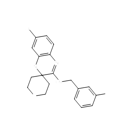 Clc1cccc(CNC2=Nc3ccc(Cl)cc3NC23CCSCC3)c1